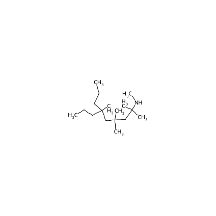 CCCC(C)(CCC)CC(C)(C)CC(C)(C)NC